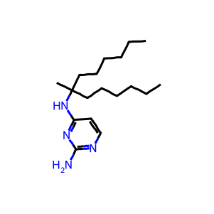 CCCCCCC(C)(CCCCCC)Nc1ccnc(N)n1